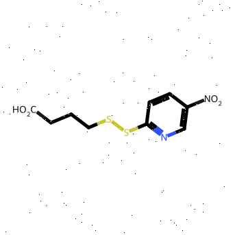 O=C(O)CCCSSc1ccc([N+](=O)[O-])cn1